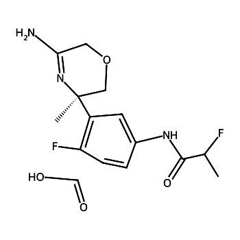 CC(F)C(=O)Nc1ccc(F)c([C@]2(C)COCC(N)=N2)c1.O=CO